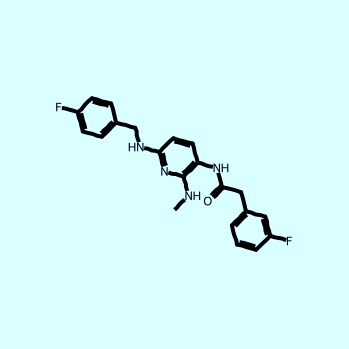 CNc1nc(NCc2ccc(F)cc2)ccc1NC(=O)Cc1cccc(F)c1